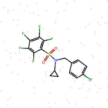 O=S(=O)(c1c(F)c(F)c(F)c(F)c1F)N(Cc1ccc(Br)cc1)C1CC1